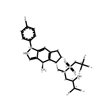 C[C@H]1C2=CNN(c3ccc(F)cc3)C2=CC2=C1[C@@H](CN(CC(O)C(F)F)S(=O)(=O)CC(F)(F)F)CC2